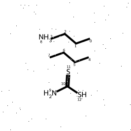 CCCC.CCCC.N.NC(=S)S